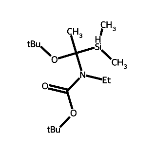 CCN(C(=O)OC(C)(C)C)C(C)(OC(C)(C)C)[SiH](C)C